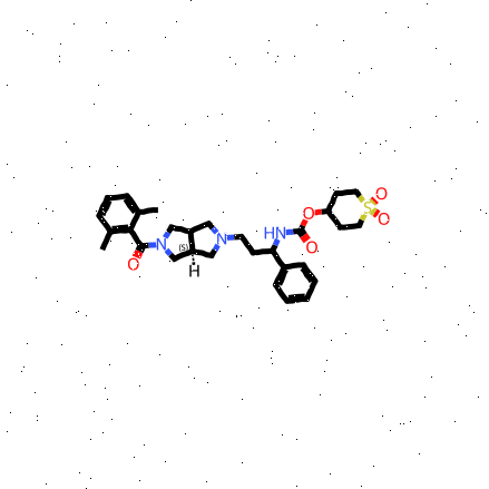 Cc1cccc(C)c1C(=O)N1CC2CN(CCC(NC(=O)OC3CCS(=O)(=O)CC3)c3ccccc3)C[C@H]2C1